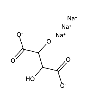 O=C([O-])C([O-])C(O)C(=O)[O-].[Na+].[Na+].[Na+]